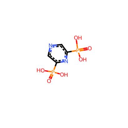 O=P(O)(O)c1cncc(P(=O)(O)O)n1